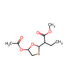 CCC(C(=O)OC)C1OC(OC(C)=O)CS1